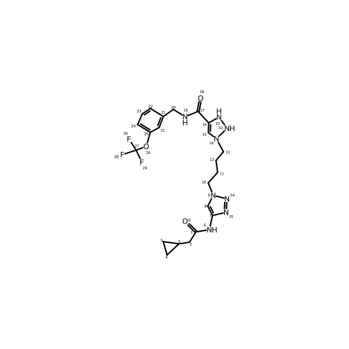 O=C(CC1CC1)Nc1cn(CCCCN2C=C(C(=O)NCc3cccc(OC(F)(F)F)c3)NN2)nn1